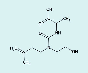 C=C(C)CCN(CCO)C(=O)NC(C)C(=O)O